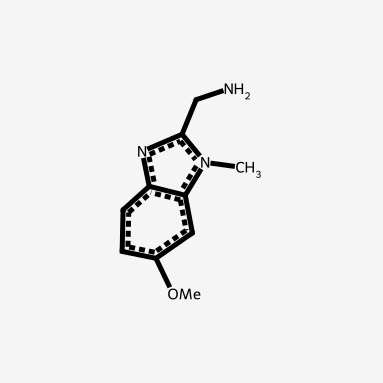 COc1ccc2nc(CN)n(C)c2c1